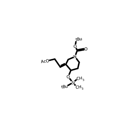 CC(=O)OCC=C1CN(C(=O)OC(C)(C)C)CCC1O[Si](C)(C)C(C)(C)C